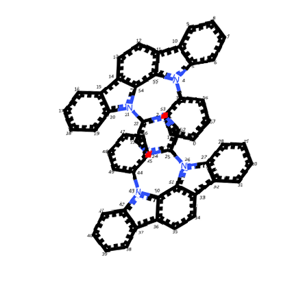 c1ccc(-n2c3ccccc3c3ccc4c5ccccc5n(-c5cnc(-n6c7ccccc7c7ccc8c9ccccc9n(-c9ccccc9)c8c76)cn5)c4c32)cc1